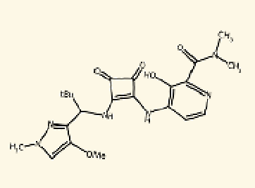 COc1cn(C)nc1C(Nc1c(Nc2ccnc(C(=O)N(C)C)c2O)c(=O)c1=O)C(C)(C)C